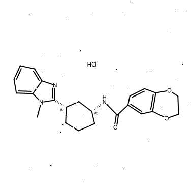 Cl.Cn1c([C@H]2CCC[C@@H](NC(=O)c3ccc4c(c3)OCCO4)C2)nc2ccccc21